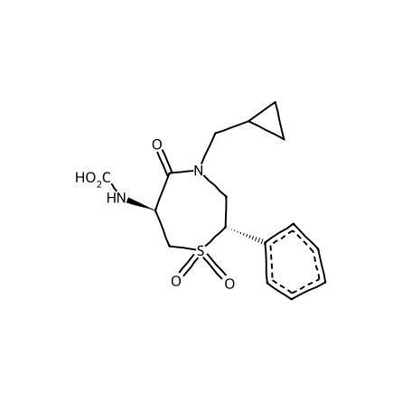 O=C(O)N[C@@H]1CS(=O)(=O)[C@@H](c2ccccc2)CN(CC2CC2)C1=O